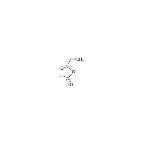 C=CN1OCC(=O)O1